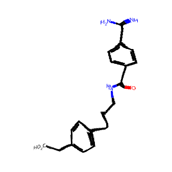 N=C(N)c1ccc(C(=O)NCCCc2ccc(CC(=O)O)cc2)cc1